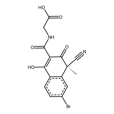 C[C@@]1(C#N)C(=O)C(C(=O)NCC(=O)O)=C(O)c2ccc(Br)cc21